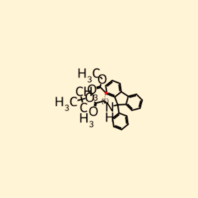 COC(=O)C[C@H](NC1(c2ccccc2)c2ccccc2-c2ccccc21)C(=O)OC(C)(C)C